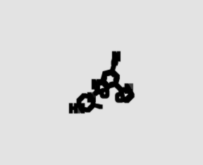 C[C@H]1CNCCN1c1nc2cc(C#N)cc(-c3ncco3)c2o1